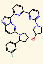 OC1CCN(c2nccc(-c3cccc(-c4cnc5ccc(N6CCCC6c6cccc(F)c6)nn45)n3)n2)C1